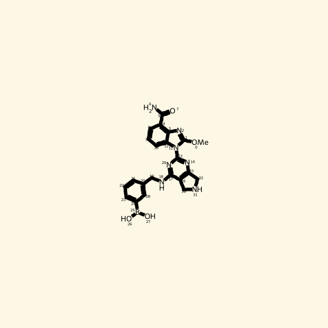 COc1nc2c(C(N)=O)cccc2n1-c1nc2c(c(NCc3cccc(B(O)O)c3)n1)CNC2